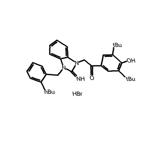 Br.CCCCc1ccccc1Cn1c(=N)n(CC(=O)c2cc(C(C)(C)C)c(O)c(C(C)(C)C)c2)c2ccccc21